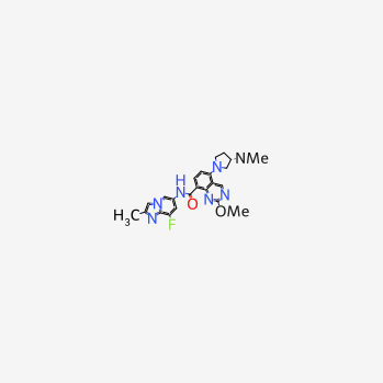 CN[C@H]1CCN(c2ccc(C(=O)Nc3cc(F)c4nc(C)cn4c3)c3nc(OC)ncc23)C1